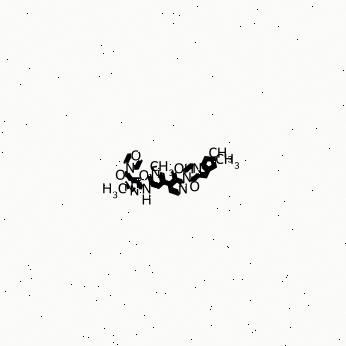 Cn1nc(Nc2cc(-c3ccnc(N4CCn5c(cc6c5CC(C)(C)C6)C4=O)c3CO)cn(C)c2=O)cc1C(=O)N1CCOCC1